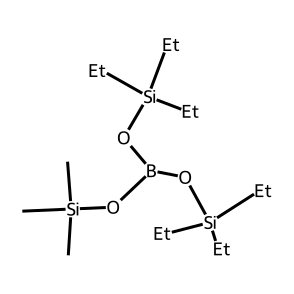 CC[Si](CC)(CC)OB(O[Si](C)(C)C)O[Si](CC)(CC)CC